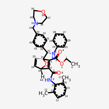 CCOC(=O)C1=C(C(=O)Nc2c(C)cccc2C)[C@@H]2C=C[C@@]1([C@@H](Nc1ccccc1)c1ccc(CN3CCOCC3)cc1)O2